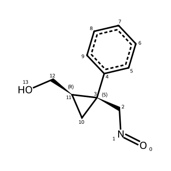 O=NC[C@@]1(c2ccccc2)C[C@H]1CO